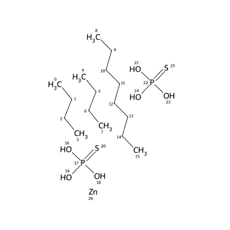 CCCC.CCCC.CCCCCCCC.OP(O)(O)=S.OP(O)(O)=S.[Zn]